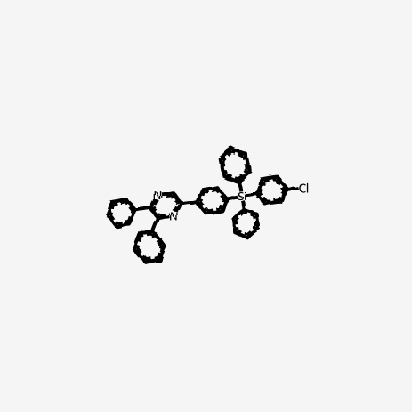 Clc1ccc([Si](c2ccccc2)(c2ccccc2)c2ccc(-c3cnc(-c4ccccc4)c(-c4ccccc4)n3)cc2)cc1